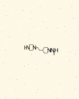 INN1CCC(CCN2CCN(I)CC2)CC1